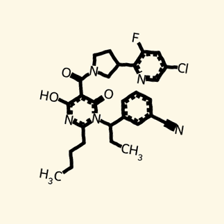 CCCCc1nc(O)c(C(=O)N2CCC(c3ncc(Cl)cc3F)C2)c(=O)n1C(CC)c1cccc(C#N)c1